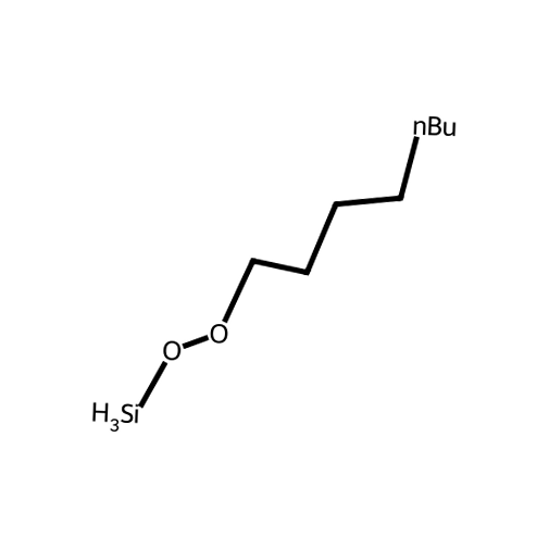 CCCCCCCCOO[SiH3]